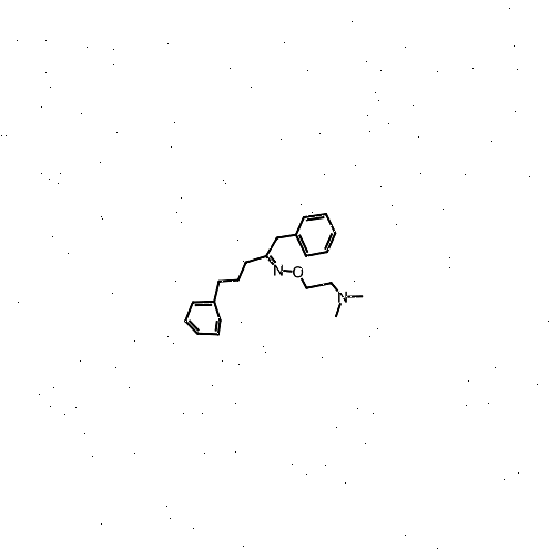 CN(C)CCON=C(CCCc1ccccc1)Cc1ccccc1